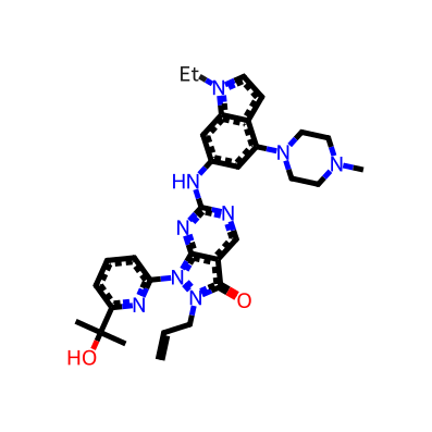 C=CCn1c(=O)c2cnc(Nc3cc(N4CCN(C)CC4)c4ccn(CC)c4c3)nc2n1-c1cccc(C(C)(C)O)n1